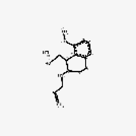 C=CCNC1CCc2cccc(OC)c2C1CO.Cl